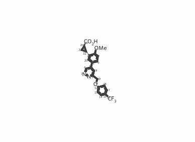 COc1ccc(-c2cnnc(COc3ccc(C(F)(F)F)cc3)c2)cc1[C@@H]1C[C@H]1C(=O)O